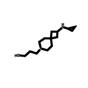 OCCCN1CCC2(CC1)CC(NC1CC1)C2